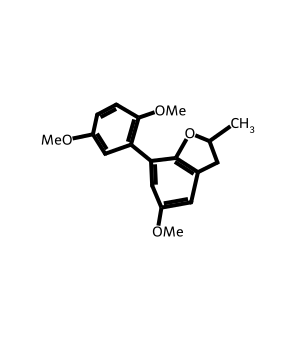 COc1ccc(OC)c(-c2cc(OC)cc3c2OC(C)C3)c1